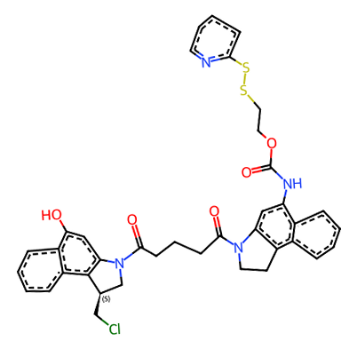 O=C(Nc1cc2c(c3ccccc13)CCN2C(=O)CCCC(=O)N1C[C@@H](CCl)c2c1cc(O)c1ccccc21)OCCSSc1ccccn1